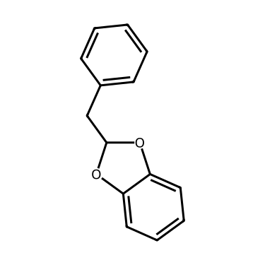 c1ccc(CC2Oc3ccccc3O2)cc1